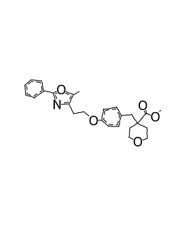 COC(=O)C1(Cc2ccc(OCCc3nc(-c4ccccc4)oc3C)cc2)CCOCC1